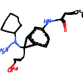 C=CC(=O)Nc1ccc2c(c1)C2(CCO)N(N)C1CCCCC1